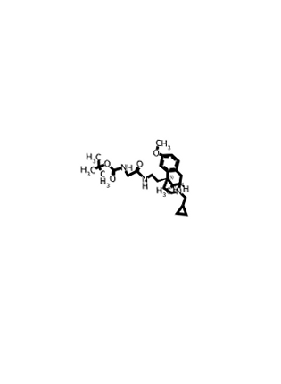 COc1ccc2c(c1)[C@@]1(CCNC(=O)CNC(=O)OC(C)(C)C)CCN(CC3CC3)[C@H](C2)[C@@H]1C